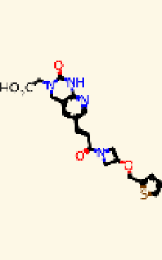 O=C(O)CN1Cc2cc(/C=C/C(=O)N3CC(OCc4cccs4)C3)cnc2NC1=O